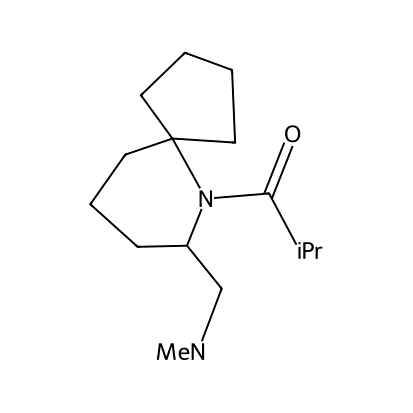 CNCC1CCCC2(CCCC2)N1C(=O)C(C)C